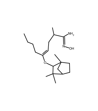 CCCCC(=CCC(C)C(N)=NO)OC1C2(C)CCC(C2)C1(C)C